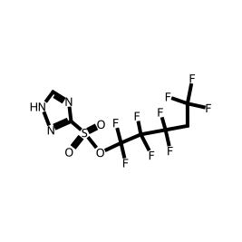 O=S(=O)(OC(F)(F)C(F)(F)C(F)(F)CC(F)(F)F)c1nc[nH]n1